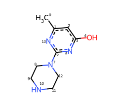 Cc1cc(O)nc(N2CCNCC2)n1